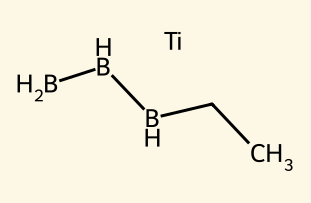 BBBCC.[Ti]